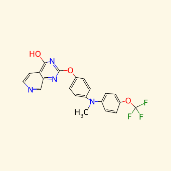 CN(c1ccc(Oc2nc(O)c3ccncc3n2)cc1)c1ccc(OC(F)(F)F)cc1